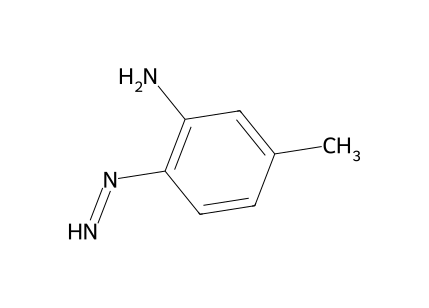 Cc1ccc(N=N)c(N)c1